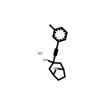 Cc1cccc(C#CC2(O)CC3CCC(C2)N3)c1.Cl